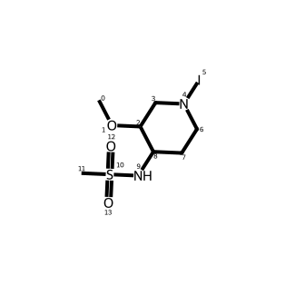 COC1CN(I)CCC1NS(C)(=O)=O